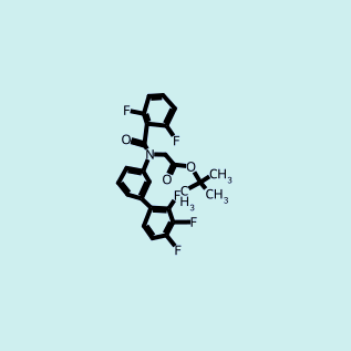 CC(C)(C)OC(=O)CN(C(=O)c1c(F)cccc1F)c1cccc(-c2ccc(F)c(F)c2F)c1